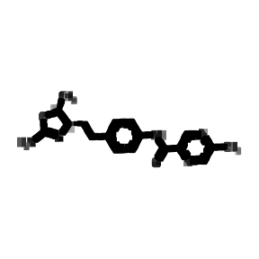 Cc1cnc(C(=O)Nc2ccc(CC[C@@H]3N=C(N)O[C@H]3C)cc2)cn1